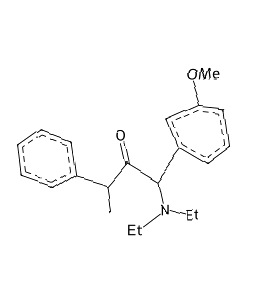 CCN(CC)C(C(=O)C(C)c1ccccc1)c1cccc(OC)c1